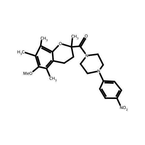 COc1c(C)c(C)c2c(c1C)CCC(C)(C(=O)N1CCN(c3ccc([N+](=O)[O-])cc3)CC1)O2